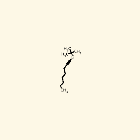 CCCCCCC#COC(C)(C)C